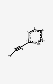 CC#Cc1cccnn1